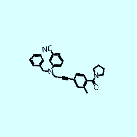 Cc1cc(C#CCN(Cc2ccccc2)c2cccc(C#N)c2)ccc1C(=O)N1CCCC1